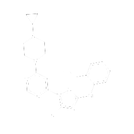 COc1ccccc1Nc1nc(N)n(-c2cc(N3CCN(C4CC4)CC3)ncn2)n1